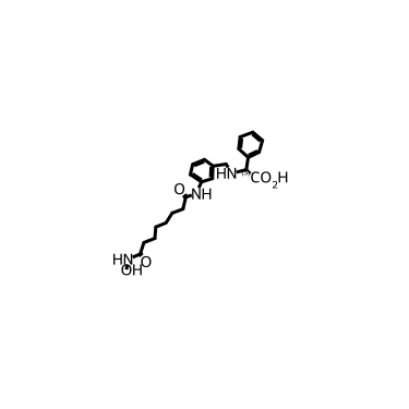 O=C(CCCCCCC(=O)Nc1cccc(CN[C@H](C(=O)O)c2ccccc2)c1)NO